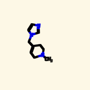 CN1CC=C(Cn2ccnc2)CC1